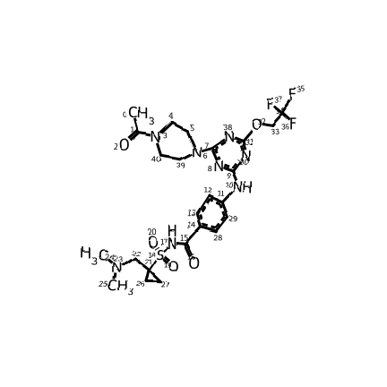 CC(=O)N1CCN(c2nc(Nc3ccc(C(=O)NS(=O)(=O)C4(CN(C)C)CC4)cc3)nc(OCC(F)(F)F)n2)CC1